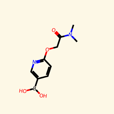 CN(C)C(=O)COc1ccc(B(O)O)cn1